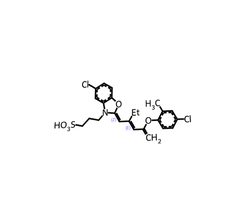 C=C(/C=C(/C=C1\Oc2ccc(Cl)cc2N1CCCS(=O)(=O)O)CC)Oc1ccc(Cl)cc1C